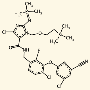 C[Si](C)(C)CCOCn1c(N=P(C)(C)C)nc(Cl)c1C(=O)NCc1ccc(Cl)c(Oc2cc(Cl)cc(C#N)c2)c1F